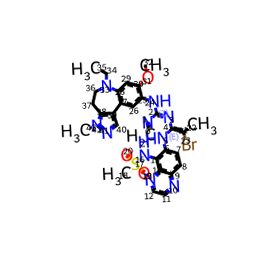 C=N/C(=N\C(Nc1ccc2nccnc2c1NS(C)(=O)=O)=C(/C)Br)Nc1cc2c(cc1OC)N(CC)CCc1c-2cnn1C